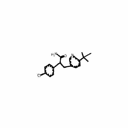 CC(C)(C)c1ccc(CC(C(N)=O)c2ccc(Cl)cc2)cn1